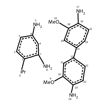 CC(C)c1ccc(N)cc1N.COc1cc(-c2ccc(N)c(OC)c2)ccc1N